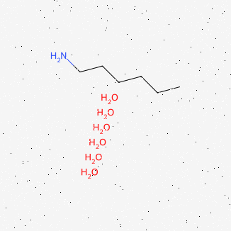 CCCCCCN.O.O.O.O.O.O